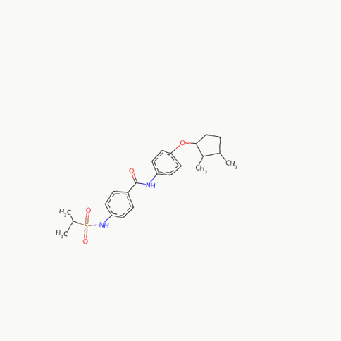 CC1CCC(Oc2ccc(NC(=O)c3ccc(NS(=O)(=O)C(C)C)cc3)cc2)C1C